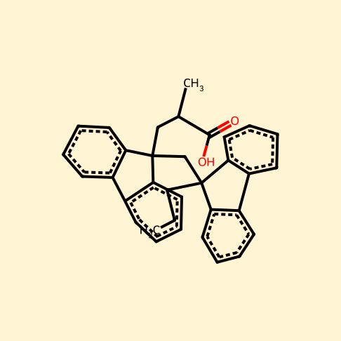 CCCC1(CC2(CC(C)C(=O)O)c3ccccc3-c3ccccc32)c2ccccc2-c2ccccc21